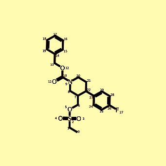 CCS(=O)(=O)OCC1CN(C(=O)OCc2ccccc2)CCC1c1ccc(F)cc1